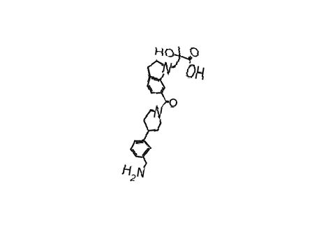 CC(O)(CN1CCc2ccc(C(=O)N3CCC(c4cccc(CN)c4)CC3)cc21)C(=O)O